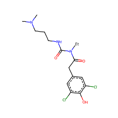 CCN(C(=O)Cc1cc(Cl)c(O)c(Cl)c1)C(=O)NCCCN(C)C